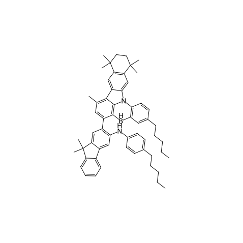 CCCCCc1ccc(Nc2cc3c(cc2-c2cc(C)c4c5cc6c(cc5n5c4c2Bc2cc(CCCCC)ccc2-5)C(C)(C)CCC6(C)C)C(C)(C)c2ccccc2-3)cc1